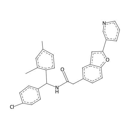 Cc1ccc(C(NC(=O)Cc2ccc3oc(-c4cccnc4)cc3c2)c2ccc(Cl)cc2)c(C)c1